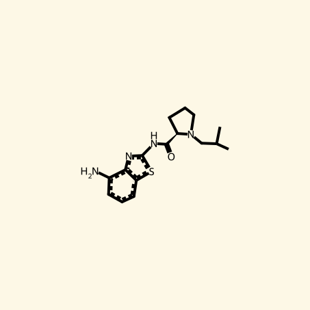 CC(C)CN1CCC[C@@H]1C(=O)Nc1nc2c(N)cccc2s1